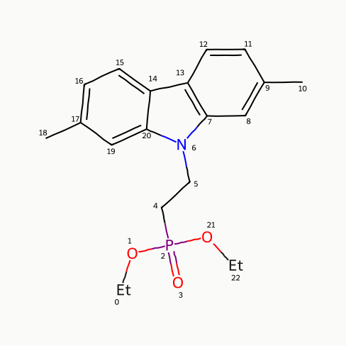 CCOP(=O)(CCn1c2cc(C)ccc2c2ccc(C)cc21)OCC